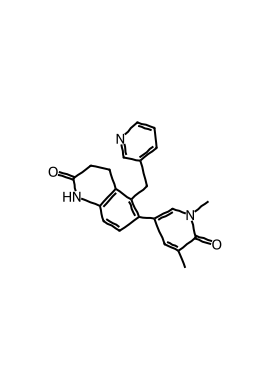 Cc1cc(-c2ccc3c(c2Cc2cccnc2)CCC(=O)N3)cn(C)c1=O